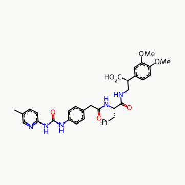 COc1ccc([C@@H](CNC(=O)[C@H](CC(C)C)NC(=O)Cc2ccc(NC(=O)Nc3ccc(C)cn3)cc2)C(=O)O)cc1OC